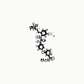 CNC(=O)c1cc(Oc2ccc(NC(=O)Nc3cc(C(F)(F)F)ccc3CCNS(C)(=O)=O)cc2)ccn1